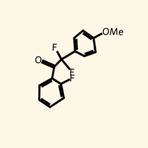 COc1ccc(C(F)(F)C(=O)c2ccccc2F)cc1